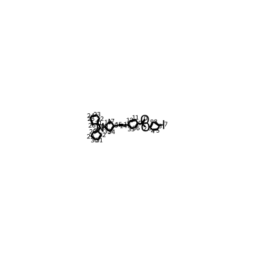 O=C(Oc1ccc(I)cc1)c1ccc(C#Cc2ccc(N(c3ccccc3)c3ccccc3)cc2)cc1